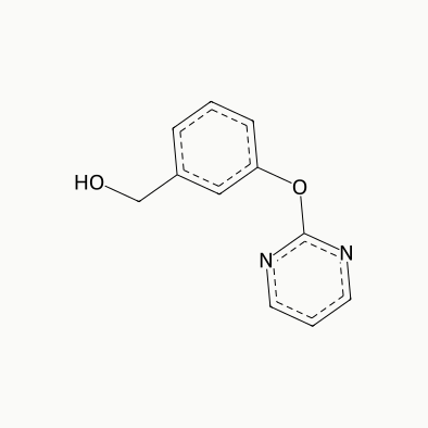 OCc1cccc(Oc2ncccn2)c1